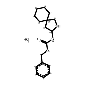 Cl.O=C(OCc1ccccc1)OC1CC2(CCCCC2)CN1